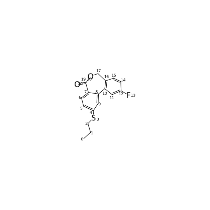 CCCSc1ccc2c(c1)-c1cc(F)ccc1COC2=O